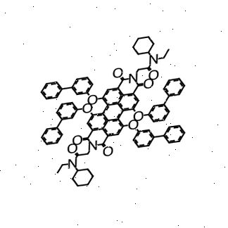 CCN(C(=O)CN1C(=O)c2cc(Oc3cccc(-c4ccccc4)c3)c3c4c(Oc5cccc(-c6ccccc6)c5)cc5c6c(cc(Oc7cccc(-c8ccccc8)c7)c(c7c(Oc8cccc(-c9ccccc9)c8)cc(c2c37)C1=O)c64)C(=O)N(CC(=O)N(CC)C1CCCCC1)C5=O)C1CCCCC1